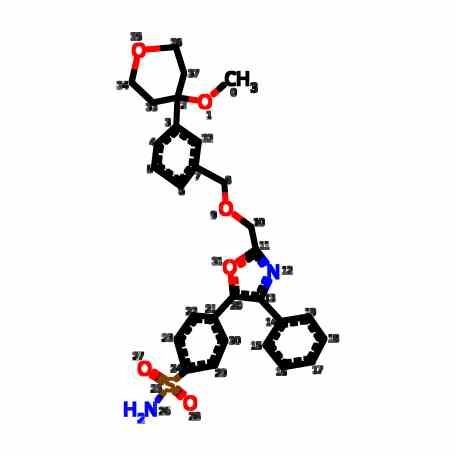 COC1(c2cccc(COCc3nc(-c4ccccc4)c(-c4ccc(S(N)(=O)=O)cc4)o3)c2)CCOCC1